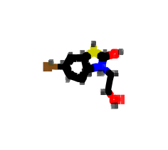 O=c1sc2cc(Br)ccc2n1CCO